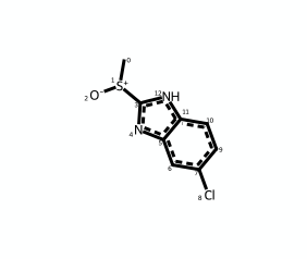 C[S+]([O-])c1nc2cc(Cl)ccc2[nH]1